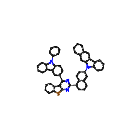 c1ccc(-n2c3ccccc3c3cc(-c4nc(-c5cccc6cc(-n7c8ccccc8c8cc9ccccc9cc87)ccc56)nc5sc6ccccc6c45)ccc32)cc1